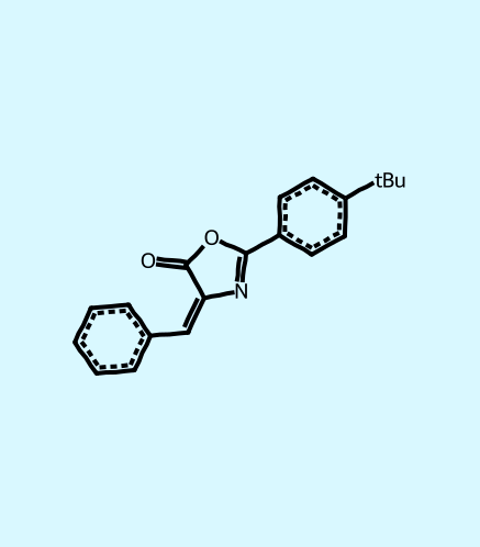 CC(C)(C)c1ccc(C2=NC(=Cc3ccccc3)C(=O)O2)cc1